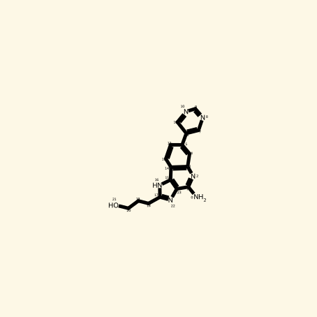 Nc1nc2cc(-c3cncnc3)ccc2c2[nH]c(CCCO)nc12